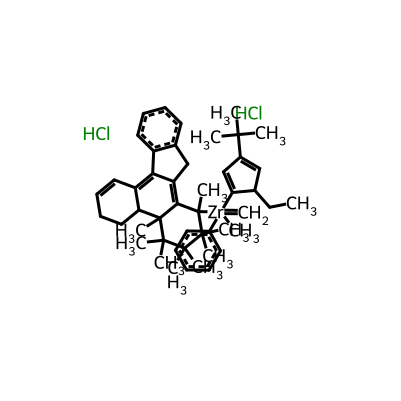 Cl.Cl.[CH2]=[Zr]([CH3])([C]1=CC(C(C)(C)C)=CC1CC)([c]1ccccc1)[C]1(C)C2=C3Cc4ccccc4C3=C3C=CCCC3C2(C)C(C)(C)C(C)(C)C1(C)C